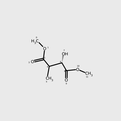 COC(=O)C(C)[C@H](O)C(=O)OC